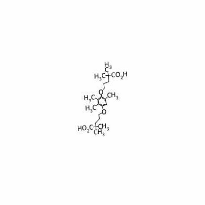 Cc1cc(OCCCC(C)(C)C(=O)O)c(C)c(C)c1OCCCC(C)(C)C(=O)O